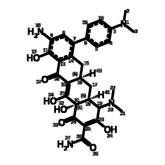 CN(C)c1ccc(-c2cc(N)c(O)c3c2C[C@H]2C[C@H]4C(N(C)C)C(O)=C(C(N)=O)C(=O)[C@@]4(O)C(O)=C2C3=O)cc1